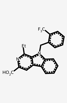 CCc1nc(C(=O)O)cc2c3ccccc3n(Cc3ccccc3C(F)(F)F)c12